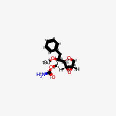 CC(C)(C)O[C@@](COC(N)=O)(Cc1ccccc1)[C@@H]1OC[C@@H]2O[C@H]21